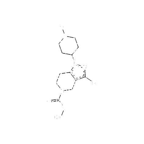 CC(C)(C)OC(=O)N1CCc2c(c(Br)nn2C2CC[S+]([O-])CC2)C1